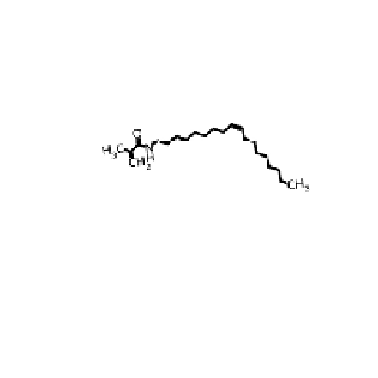 C=C(C)C(=O)NCCCCCCCC/C=C\CCCCCCCC